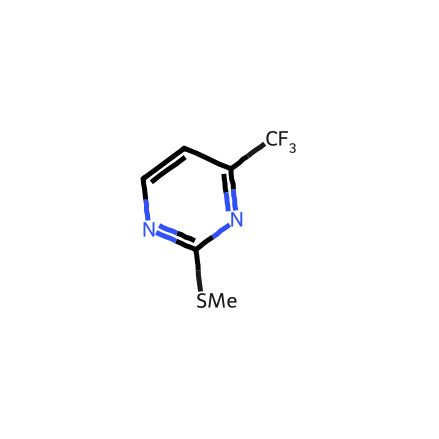 [CH2]Sc1nccc(C(F)(F)F)n1